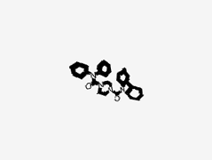 O=C(N1CCN(C(=O)n2c3c(c4ccccc42)CCCC3)CC1)N(c1ccccc1)c1ccccc1